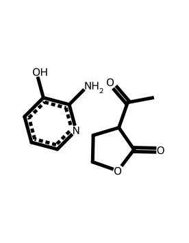 CC(=O)C1CCOC1=O.Nc1ncccc1O